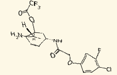 NC12CCC(NC(=O)COc3ccc(Cl)c(F)c3)(CC1)C[C@H]2OC(=O)C(F)(F)F